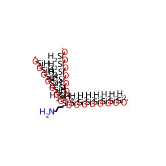 CO[SiH2]O[SiH2]O[SiH2]O[SiH2]O[SiH2]O[SiH2]O[SiH2]O[Si](CCCN)(O[SiH2]O[SiH2]O[SiH2]O[SiH2]O[SiH2]O[SiH2]OC)O[SiH2]O[SiH2]O[SiH2]O[SiH2]O[SiH2]O[SiH2]OC